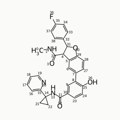 CNC(=O)C1c2cc(-c3cc(C(=O)NC4(c5ccccn5)CC4)ccc3O)ccc2OC1c1ccc(F)cc1